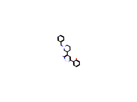 NC(N)=C(/C=C(\N)c1ccccc1O)C1CCCN(Cc2ccccc2)C1